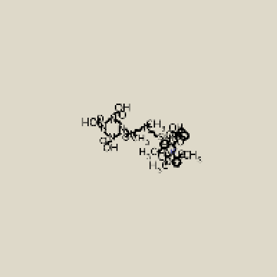 COc1cccc(OC)c1/C(=C/C(=N)C(=O)NC1(C(=O)O)C2CC3CC(C2)CC1C3)Nc1ccc(SCCCN(C)CCCN(C)C(=O)CN2CCN(CC(=O)O)CCN(CC(=O)O)CCN(CC(=O)O)CC2)cc1C(C)C